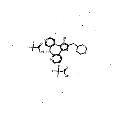 O=C(O)C(F)(F)F.O=C(O)C(F)(F)F.On1c(CC2CCSCC2)nc2c1-c1ccncc1Nc1ncccc1-2